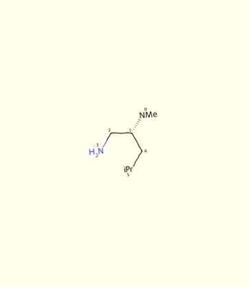 CN[C@@H](CN)CC(C)C